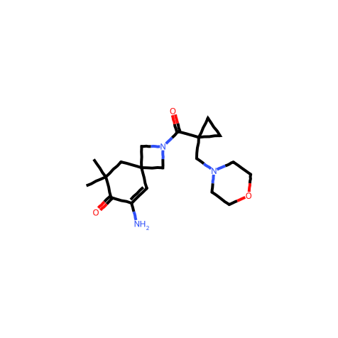 CC1(C)CC2(C=C(N)C1=O)CN(C(=O)C1(CN3CCOCC3)CC1)C2